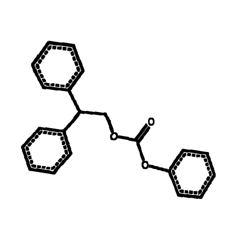 O=C(OCC(c1ccccc1)c1ccccc1)Oc1ccccc1